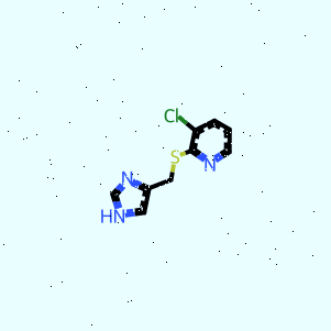 Clc1cccnc1SCc1c[nH]cn1